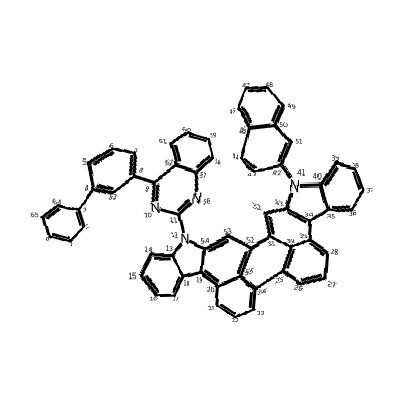 c1ccc(-c2cccc(-c3nc(-n4c5ccccc5c5c6cccc7c8cccc9c8c(cc8c9c9ccccc9n8-c8ccc9ccccc9c8)c(cc54)c76)nc4ccccc34)c2)cc1